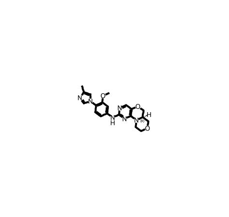 COc1cc(Nc2ncc3c(n2)N2CCOC[C@@H]2CO3)ccc1-n1cnc(C)c1